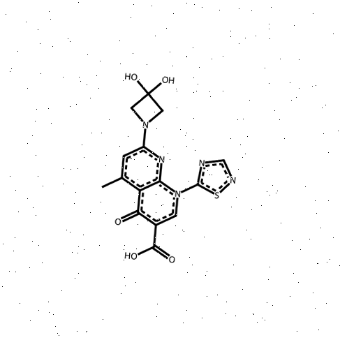 Cc1cc(N2CC(O)(O)C2)nc2c1c(=O)c(C(=O)O)cn2-c1ncns1